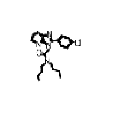 CCCCN(CCCC)C(=O)Cn1c(-c2ccc(Cl)cc2)nc2cccnc21